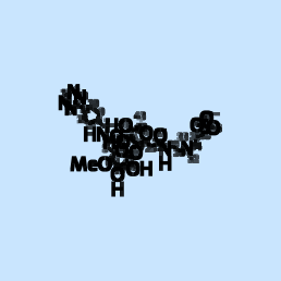 CO[C@@H]1C(CC(=O)NCc2ccc(-c3nncnn3)cc2)O[C@@H](O[C@@H]2C(CC(=O)NCC[N+](C)(C)CCCS(=O)(=O)[O-])O[C@@H](C)C(O)[C@H]2O)C(O)[C@H]1O